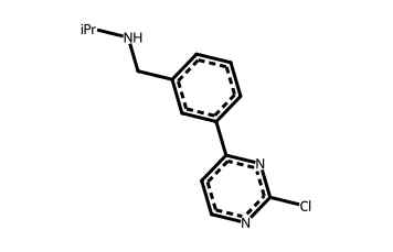 CC(C)NCc1cccc(-c2ccnc(Cl)n2)c1